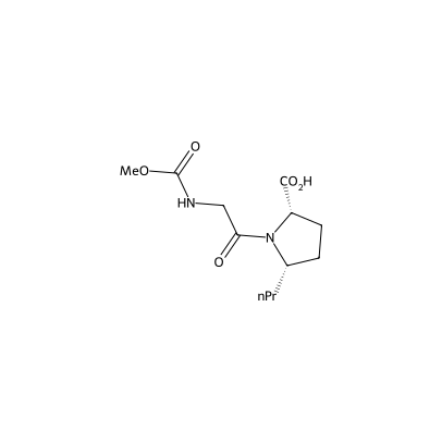 CCC[C@H]1CC[C@@H](C(=O)O)N1C(=O)CNC(=O)OC